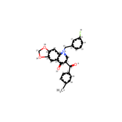 Cc1ccc(C(=O)c2cn(Cc3cccc(F)c3)c3cc4c(cc3c2=O)OCO4)cc1